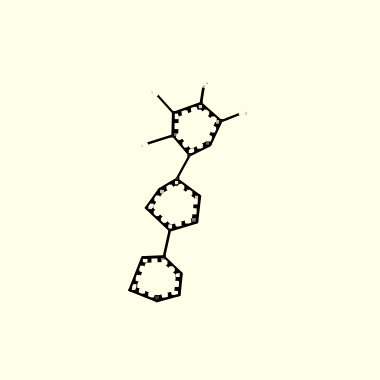 Brc1cc(-c2ccc(-c3ccccc3)cc2)c(Br)c(Br)c1Br